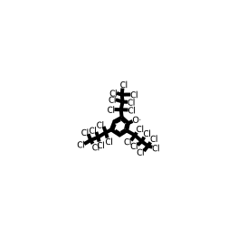 [O]c1c(C(Cl)(Cl)C(Cl)(Cl)C(Cl)(Cl)Cl)cc(C(Cl)(Cl)C(Cl)(Cl)C(Cl)(Cl)Cl)cc1C(Cl)(Cl)C(Cl)(Cl)C(Cl)(Cl)Cl